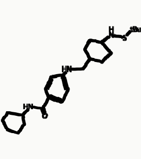 CC(C)(C)SNC1CCC(CNc2ccc(C(=O)NC3CCCCC3)cc2)CC1